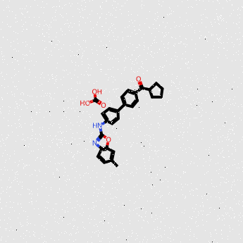 Cc1ccc2nc(Nc3ccc(-c4ccc(C(=O)C5CCCC5)cc4)cc3)oc2c1.O=C(O)O